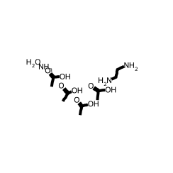 CC(=O)O.CC(=O)O.CC(=O)O.CC(=O)O.N.NCCN.O